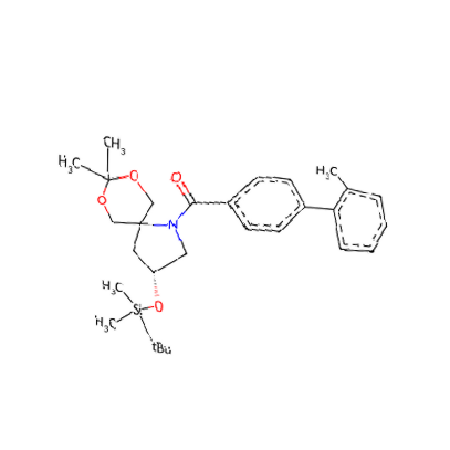 Cc1ccccc1-c1ccc(C(=O)N2C[C@H](O[Si](C)(C)C(C)(C)C)CC23COC(C)(C)OC3)cc1